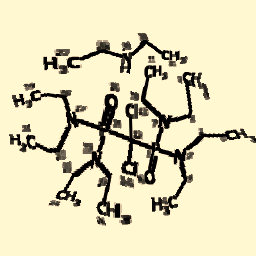 CCN(CC)P(=O)(N(CC)CC)C(Cl)(Cl)P(=O)(N(CC)CC)N(CC)CC.CCNCC